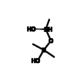 C[SiH](O)O[Si](C)(C)O